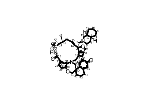 CO[C@]1(CN2CC[C@H]3CCCC[C@@H]3C2)/C=C/C[C@H](C)[C@@H](C)S(=O)(=O)NC(=O)c2ccc3c(c2)N(C[C@@H]2CC[C@H]21)C[C@@]1(CCCc2cc(Cl)ccc21)CO3